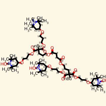 CCCCC(CCCOC(=O)CCC(=O)OCCCC(CCCC)(C(=O)OCCCOC1CC(C)(C)N(O)C(C)(C)C1)C(=O)OCCCOC1CC(C)(C)N(O)C(C)(C)C1)(C(=O)OCCCOC1CC(C)(C)N(C)C(C)(C)C1)C(=O)OCCCOC1CC(C)(C)N(O)C(C)(C)C1